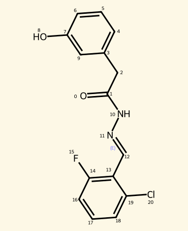 O=C(Cc1cccc(O)c1)N/N=C/c1c(F)cccc1Cl